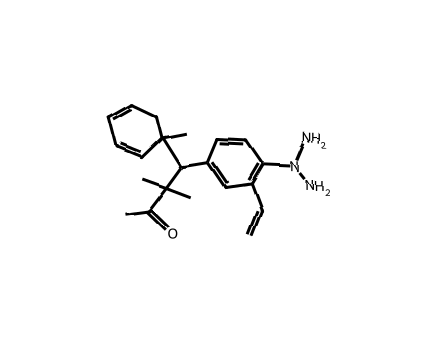 C=Cc1cc(C(C2(C)C=CC=CC2)C(C)(C)C(C)=O)ccc1N(N)N